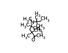 CCC(C)(C)N(C)C(C)(C)CC(C)(C)C(C)=O